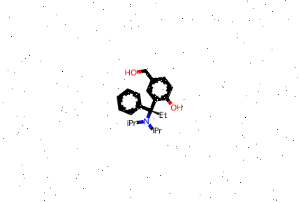 CC[C@@](c1ccccc1)(c1cc(CO)ccc1O)N(C(C)C)C(C)C